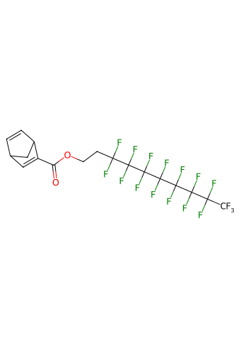 O=C(OCCC(F)(F)C(F)(F)C(F)(F)C(F)(F)C(F)(F)C(F)(F)C(F)(F)C(F)(F)F)C1=CC2C=CC1C2